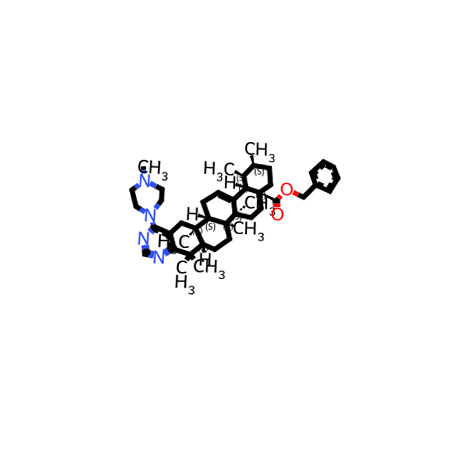 C[C@@H]1[C@H]2C3=CC[C@H]4[C@]5(C)Cc6c(N7CCN(C)CC7)ncnc6C(C)(C)[C@H]5CC[C@]4(C)[C@]3(C)CC[C@@]2(C(=O)OCc2ccccc2)CC[C@@H]1C